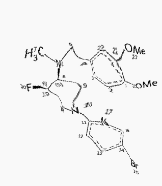 COc1ccc(CN(C)[C@H]2CN(c3ccc(Br)cn3)C[C@H]2F)cc1OC